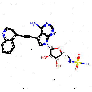 Nc1ncnc2c1c(C#Cc1ccnc3ccccc13)cn2[C@@H]1O[C@H](CNS(N)(=O)=O)[C@@H](O)[C@H]1O